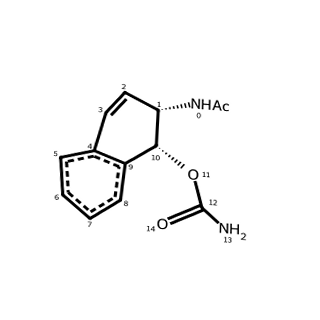 CC(=O)N[C@H]1C=Cc2ccccc2[C@H]1OC(N)=O